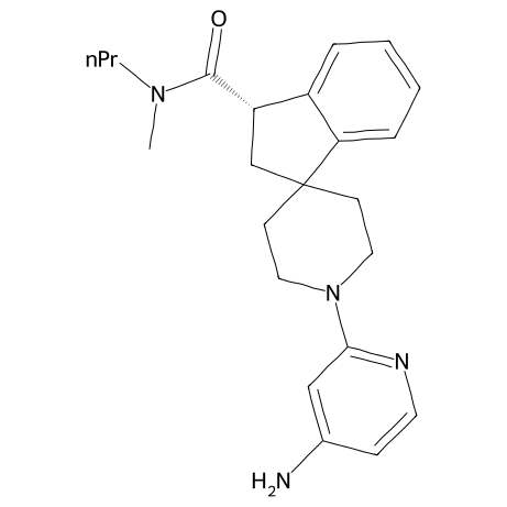 CCCN(C)C(=O)[C@H]1CC2(CCN(c3cc(N)ccn3)CC2)c2ccccc21